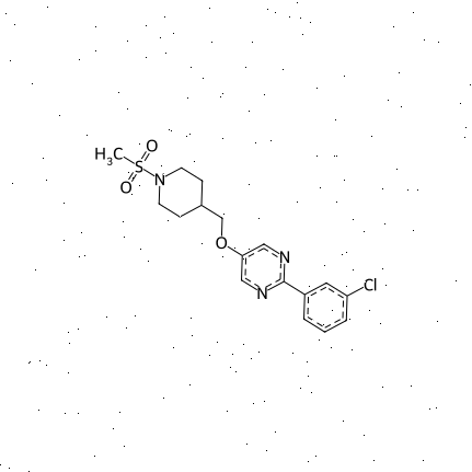 CS(=O)(=O)N1CCC(COc2cnc(-c3cccc(Cl)c3)nc2)CC1